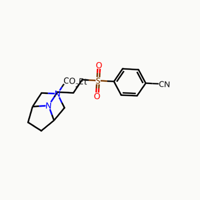 CCOC(=O)N1CC2CCC(C1)N2CCCS(=O)(=O)c1ccc(C#N)cc1